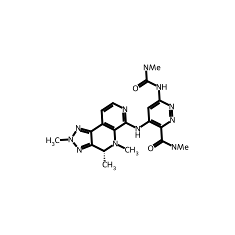 CNC(=O)Nc1cc(Nc2nccc3c2N(C)[C@H](C)c2nn(C)nc2-3)c(C(=O)NC)nn1